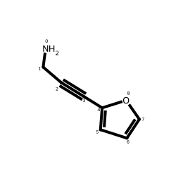 NCC#Cc1ccco1